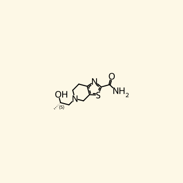 C[C@H](O)CN1CCc2nc(C(N)=O)sc2C1